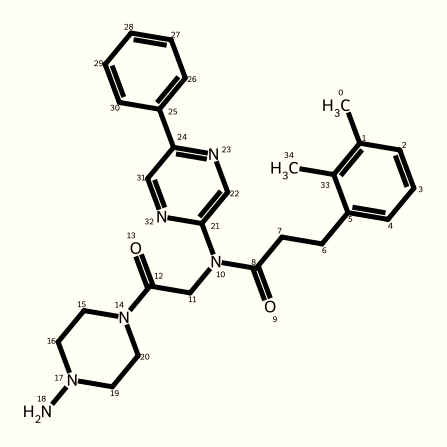 Cc1cccc(CCC(=O)N(CC(=O)N2CCN(N)CC2)c2cnc(-c3ccccc3)cn2)c1C